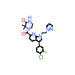 CC1(C)C(=O)NCCN1C(=O)c1ccc2c(-c3ccc(Cl)c(F)c3)cn(CCn3cccn3)c2n1